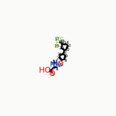 O=C(O)c1cn(Oc2ccc(-c3cccc(C(F)(F)F)c3)cc2)nn1